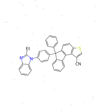 CCc1nc2ccccc2n1-c1ccc(C2(c3ccccc3)c3ccccc3-c3c2ccc2scc(C#N)c32)cc1